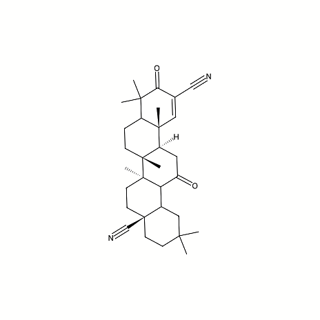 CC1(C)CC[C@]2(C#N)CC[C@]3(C)C(C(=O)C[C@@H]4[C@@]5(C)C=C(C#N)C(=O)C(C)(C)C5CC[C@]43C)C2C1